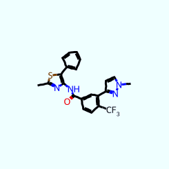 Cc1nc(NC(=O)c2ccc(C(F)(F)F)c(-c3ccn(C)n3)c2)c(-c2ccccc2)s1